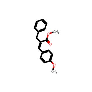 COC(=O)C(=Cc1ccc(OC)cc1)Cc1ccccc1